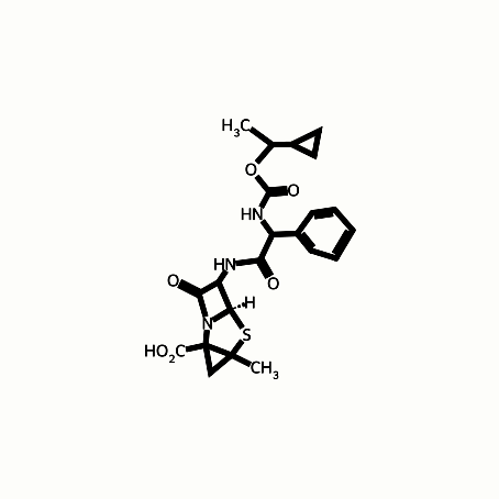 CC(OC(=O)NC(C(=O)NC1C(=O)N2[C@@H]1SC1(C)CC21C(=O)O)c1ccccc1)C1CC1